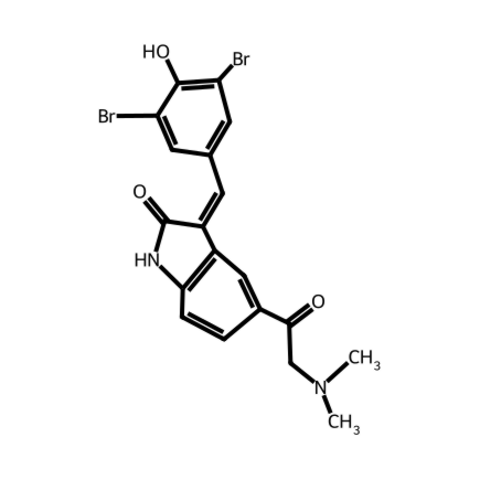 CN(C)CC(=O)c1ccc2c(c1)C(=Cc1cc(Br)c(O)c(Br)c1)C(=O)N2